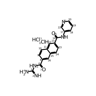 Cl.Cl.N=C(N)NC(=O)c1ccc2cc(C(=O)Nc3cccnc3)ccc2c1